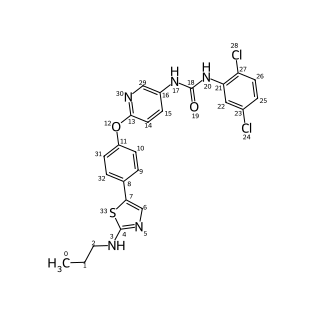 CCCNc1ncc(-c2ccc(Oc3ccc(NC(=O)Nc4cc(Cl)ccc4Cl)cn3)cc2)s1